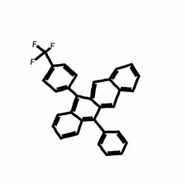 FC(F)(F)c1ccc(-c2c3ccccc3c(-c3ccccc3)c3cc4ccccc4cc23)cc1